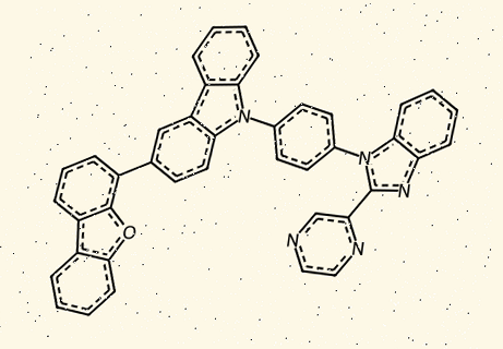 c1ccc2c(c1)nc(-c1cnccn1)n2-c1ccc(-n2c3ccccc3c3cc(-c4cccc5c4oc4ccccc45)ccc32)cc1